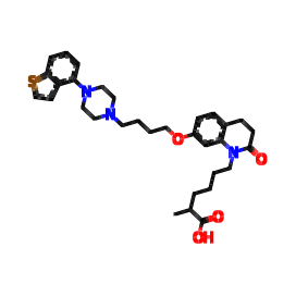 CC(CCCCN1C(=O)CCc2ccc(OCCCCN3CCN(c4cccc5sccc45)CC3)cc21)C(=O)O